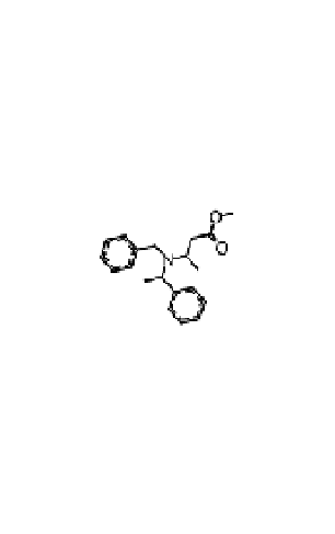 COC(=O)C[C@@H](C)N(Cc1ccccc1)[C@H](C)c1ccccc1